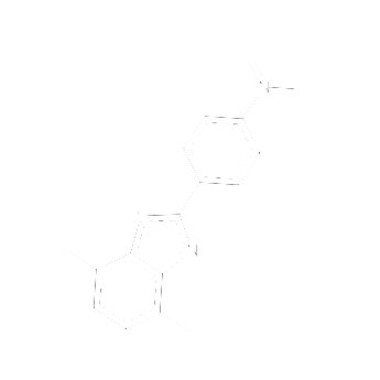 Cc1ccc(C)c2sc(-c3ccc([N+](=O)[O-])cc3)nc12